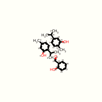 Cc1ccc(C(C)C)c(O)c1.Cc1ccc(C(C)C)cc1O.O=Cc1ccccc1O